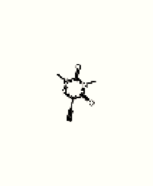 C#Cc1nn(C)c(=O)n(C)c1=O